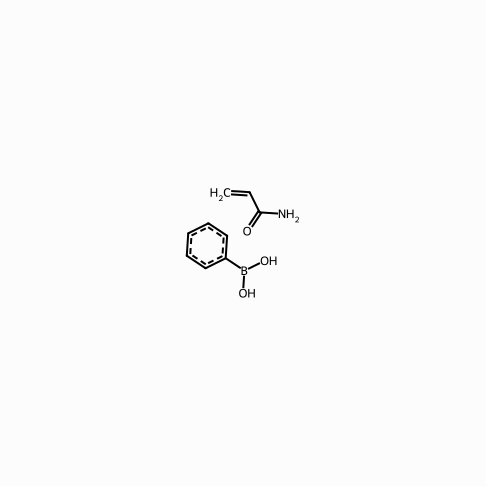 C=CC(N)=O.OB(O)c1ccccc1